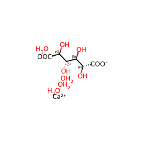 O.O.O.O.O=C([O-])[C@@H](O)[C@@H](O)[C@@H](O)[C@@H](O)C(=O)[O-].[Ca+2]